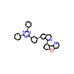 c1ccc(-c2nc(-c3ccccc3)nc(-c3cccc(-c4ccc5ccnc(-c6cccc7oc8cccnc8c67)c5c4)c3)n2)cc1